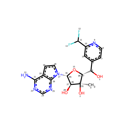 C[C@@]1(O)[C@@H](C(O)c2ccnc(C(F)F)c2)O[C@@H](n2ccc3c(N)ncnc32)[C@@H]1O